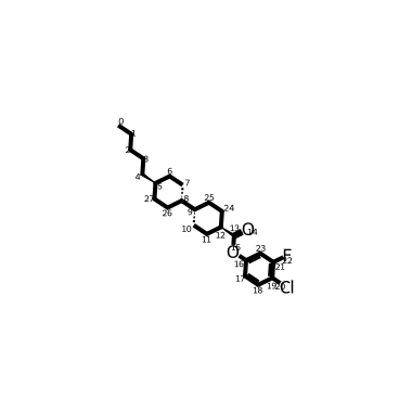 CCCCC[C@H]1CC[C@H]([C@H]2CC[C@H](C(=O)Oc3ccc(Cl)c(F)c3)CC2)CC1